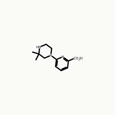 CCOC(=O)c1cccc(N2CCNC(C)(C)C2)n1